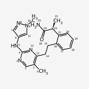 Cc1cnc(Nc2cnn(C)c2)nc1CCc1ccccc1[C@H](C)C(N)=O